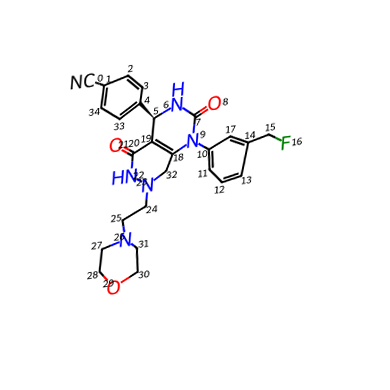 N#Cc1ccc([C@H]2NC(=O)N(c3cccc(CF)c3)C3=C2C(=O)NN(CCN2CCOCC2)C3)cc1